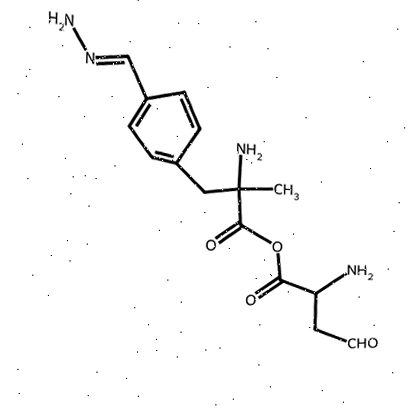 CC(N)(Cc1ccc(C=NN)cc1)C(=O)OC(=O)C(N)CC=O